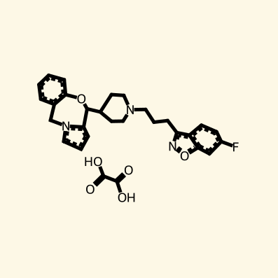 Fc1ccc2c(CCCN3CCC(C4Oc5ccccc5Cn5cccc54)CC3)noc2c1.O=C(O)C(=O)O